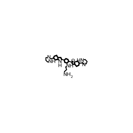 NCCCNc1cc(-c2cc3ccc(C4=NCCCN4)cc3[nH]2)ccc1-c1cc2ccc(C3=NCCCN3)cc2o1